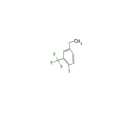 CCc1ccc(I)c(C(F)(F)F)c1